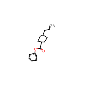 C=CCC1CCC(C(=O)Oc2ccccc2)CC1